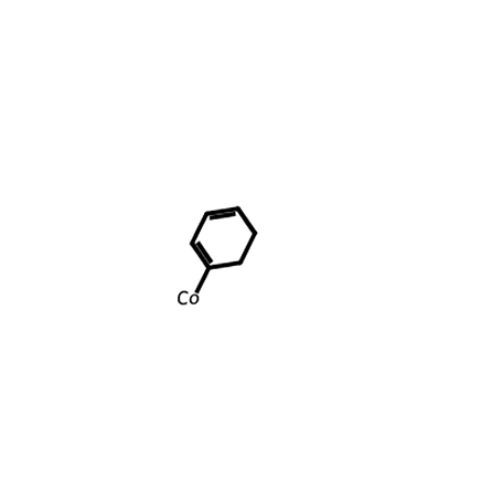 [Co][C]1=CC=CCC1